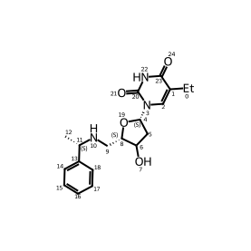 CCc1cn([C@@H]2CC(O)[C@H](CN[C@@H](C)c3ccccc3)O2)c(=O)[nH]c1=O